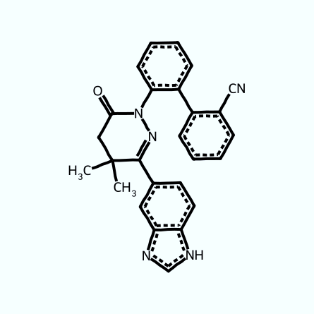 CC1(C)CC(=O)N(c2ccccc2-c2ccccc2C#N)N=C1c1ccc2[nH]cnc2c1